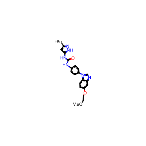 COCCOc1ccc2c(c1)ncn2-c1ccc(NC(=O)Nc2cc(C(C)(C)C)n[nH]2)cc1